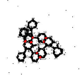 c1ccc(-c2cc3c(c(N(c4ccccc4-c4cccc5oc6ccccc6c45)c4ccccc4-c4cccc5oc6ccccc6c45)c2-c2ccccc2)Cc2ccccc2-3)cc1